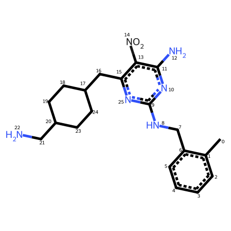 Cc1ccccc1CNc1nc(N)c([N+](=O)[O-])c(CC2CCC(CN)CC2)n1